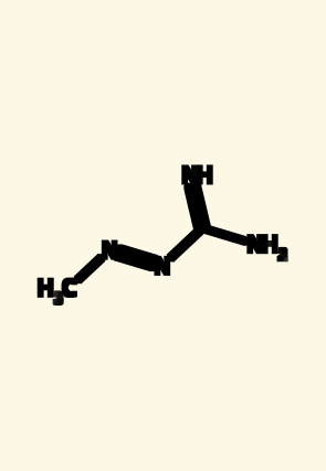 CN=NC(=N)N